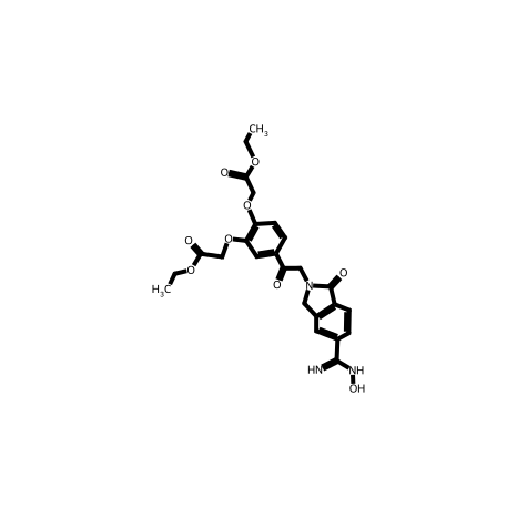 CCOC(=O)COc1ccc(C(=O)CN2Cc3cc(C(=N)NO)ccc3C2=O)cc1OCC(=O)OCC